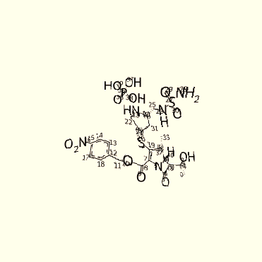 C[C@@H](O)[C@H]1C(=O)N2C(C(=O)OCc3ccc([N+](=O)[O-])cc3)=C(S[C@@H]3CN[C@H](CNS(N)(=O)=O)C3)[C@H](C)[C@H]12.O=P(O)(O)O